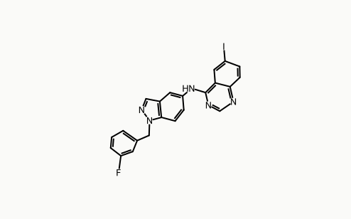 Fc1cccc(Cn2ncc3cc(Nc4ncnc5ccc(I)cc45)ccc32)c1